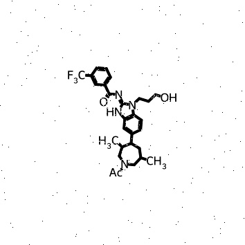 CC(=O)N1CC(C)CC(c2ccc3c(c2)[nH]/c(=N\C(=O)c2cccc(C(F)(F)F)c2)n3CCCO)C(C)C1